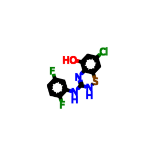 Oc1cc(Cl)cc2c1N=C(Nc1cc(F)ccc1F)NS2